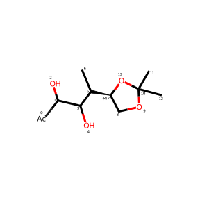 CC(=O)C(O)C(O)C(C)[C@@H]1COC(C)(C)O1